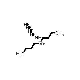 CCC[CH2][Sn][CH2]CCC.F.F.F.F.N